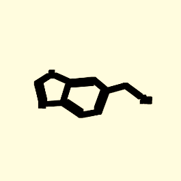 CC(=O)Cc1ccc2ncsc2c1